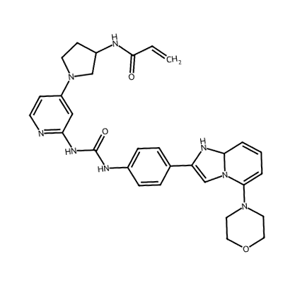 C=CC(=O)NC1CCN(c2ccnc(NC(=O)Nc3ccc(C4=CN5C(N6CCOCC6)=CC=CC5N4)cc3)c2)C1